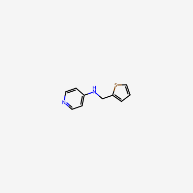 c1csc(CNc2ccncc2)c1